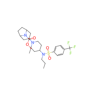 CCCN(C1CCN(C2CC3CCC(C2)N3C(=O)OCC)CC1)S(=O)(=O)c1ccc(C(F)(F)F)cc1